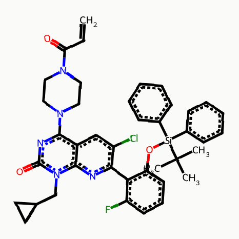 C=CC(=O)N1CCN(c2nc(=O)n(CC3CC3)c3nc(-c4c(F)cccc4O[Si](c4ccccc4)(c4ccccc4)C(C)(C)C)c(Cl)cc23)CC1